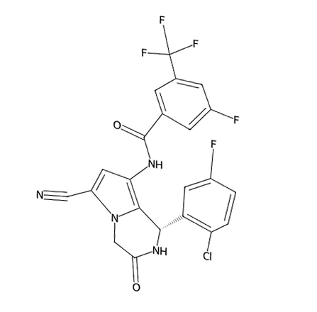 N#Cc1cc(NC(=O)c2cc(F)cc(C(F)(F)F)c2)c2n1CC(=O)N[C@H]2c1cc(F)ccc1Cl